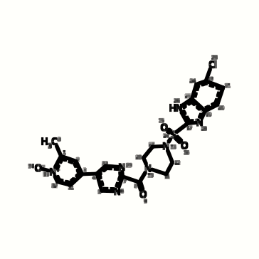 Cc1cc(-c2cnc(C(=O)N3CCN(S(=O)(=O)c4nc5ccc(Cl)cc5[nH]4)CC3)nc2)cc[n+]1[O-]